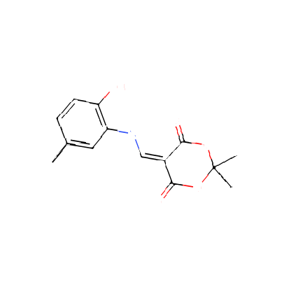 Cc1ccc(O)c(NC=C2C(=O)OC(C)(C)OC2=O)c1